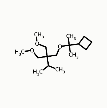 COCC(COC)(COC(C)(C)C1CCC1)C(C)C